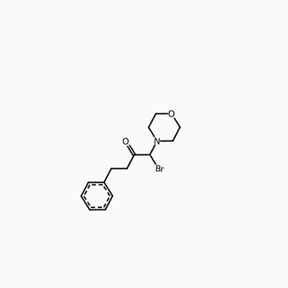 O=C(CCc1ccccc1)C(Br)N1CCOCC1